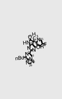 CCCCc1nc(-c2nc(O)c3c(n2)NC(=O)C3(C)c2ccc(F)cn2)cn2ncnc12